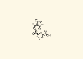 CC(ON=[N+]([O-])N1CCCC(C(=O)O)C1)N1C(=O)CCC1=O